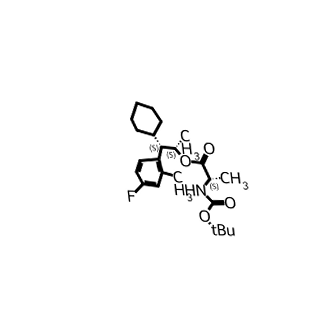 Cc1cc(F)ccc1[C@H](C1CCCCC1)[C@H](C)OC(=O)[C@H](C)NC(=O)OC(C)(C)C